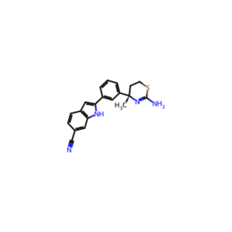 C[C@@]1(c2cccc(-c3cc4ccc(C#N)cc4[nH]3)c2)CCSC(N)=N1